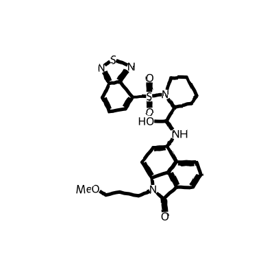 COCCCN1C(=O)c2cccc3c(NC(O)C4CCCCN4S(=O)(=O)c4cccc5nsnc45)ccc1c23